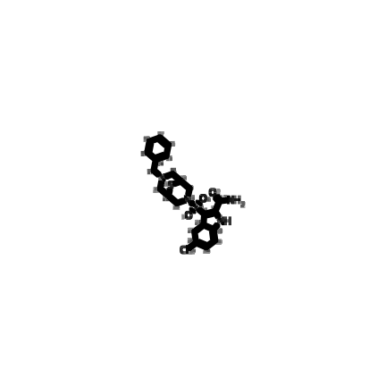 NC(=O)C1=C(S(=O)(=O)N2CC3CN(Cc4ccccc4)CC(C2)S3)C2CC(Cl)=CC=C2N1